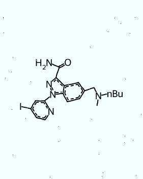 CCCCN(C)Cc1ccc2c(c1)c(C(N)=O)nn2-c1cc(I)ccn1